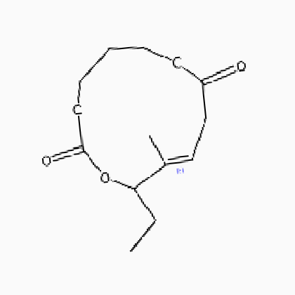 CCC1OC(=O)CCCCCC(=O)C/C=C/1C